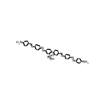 Nc1ccc(N=Nc2ccc(N=Nc3ccc(-c4ccc(N=Nc5ccc(N=Nc6ccc(N)cc6)cc5)cc4S(=O)(=O)O)cc3)cc2)cc1